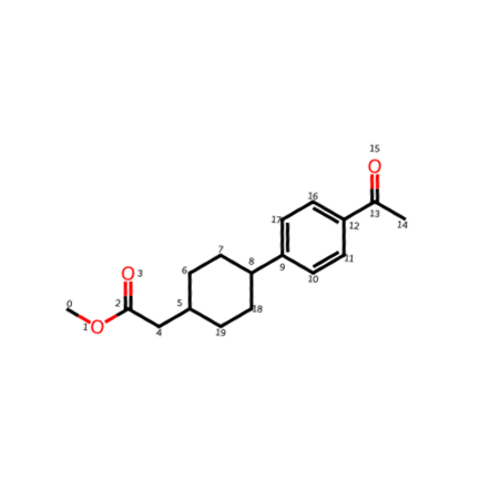 COC(=O)CC1CCC(c2ccc(C(C)=O)cc2)CC1